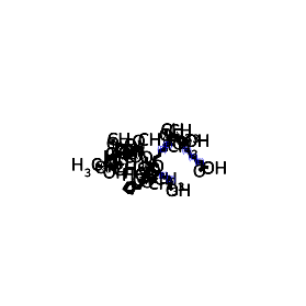 CO[C@H]1C[C@H](O[C@H]2[C@H](C)O[C@H](O[C@@H]3[C@H](C)O[C@@H](OC[C@@H](C(=O)CC/C=C/C=C(\C)[C@@H](OC)[C@@H](C)[C@H]4C[C@H](O)[C@H](/C=C/C=C/C=C/C(=O)O)O4)[C@@]4(O)O[C@@H](/C=C/C=C\CO)C(C)(C)[C@@H](OC(=O)Cc5ccccc5)[C@H]4O)C[C@@H]3OC)C[C@H]2OC)O[C@@H](C)[C@H]1O